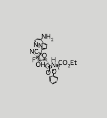 CCOC(=O)[C@H](C)NP(=O)(OC[C@H]1O[C@@](C#N)(c2ccc3c(N)ccnn23)[C@](C)(F)[C@@H]1O)Oc1ccccc1